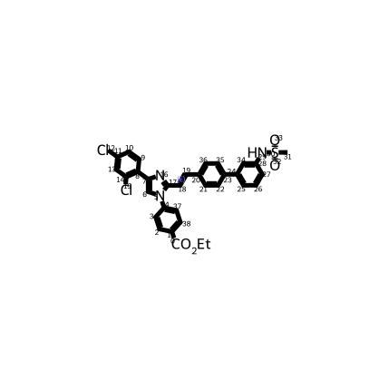 CCOC(=O)c1ccc(-n2cc(-c3ccc(Cl)cc3Cl)nc2/C=C/c2ccc(-c3cccc(NS(C)(=O)=O)c3)cc2)cc1